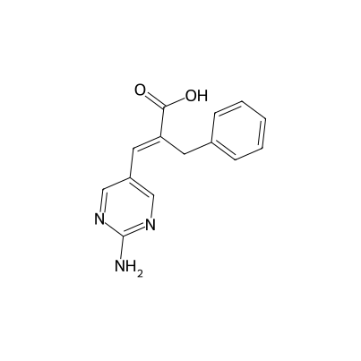 Nc1ncc(/C=C(\Cc2ccccc2)C(=O)O)cn1